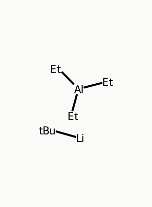 C[CH2][Al]([CH2]C)[CH2]C.[Li][C](C)(C)C